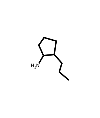 CCCC1CCCC1N